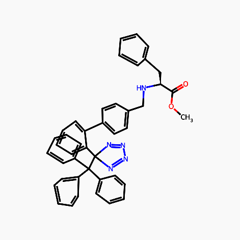 COC(=O)[C@H](Cc1ccccc1)NCc1ccc(-c2ccccc2C2(C(c3ccccc3)(c3ccccc3)c3ccccc3)N=NN=N2)cc1